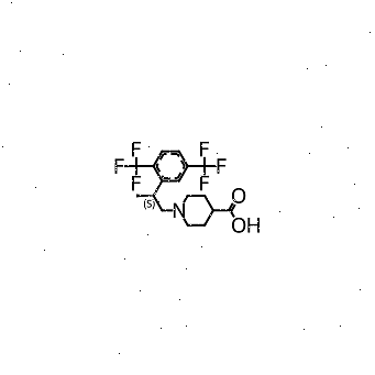 C[C@H](CN1CCC(C(=O)O)CC1)c1cc(C(F)(F)F)ccc1C(F)(F)F